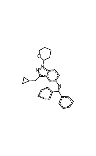 c1ccc(C(=Nc2ccc3c(c2)c(CC2CC2)nn3C2CCCCO2)c2ccccc2)cc1